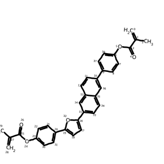 C=C(C)C(=O)Oc1ccc(-c2ccc3cc(-c4ccc(-c5ccc(OC(=O)C(=C)C)cc5)o4)ccc3c2)cc1